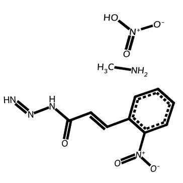 CN.N=NNC(=O)/C=C/c1ccccc1[N+](=O)[O-].O=[N+]([O-])O